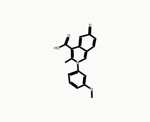 COc1cccc(-n2cc3ccc(=O)cc-3c(C(=O)O)c2C)c1